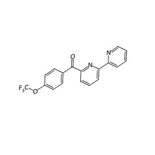 O=C(c1ccc(OC(F)(F)F)cc1)c1cccc(-c2ccccn2)n1